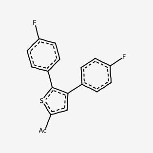 CC(=O)c1cc(-c2ccc(F)cc2)c(-c2ccc(F)cc2)s1